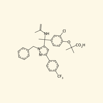 C=C(C)NC(C)(c1ccc(OC(C)(C)C(=O)O)c(Cl)c1)c1cc(-c2ccc(C(F)(F)F)cc2)nn1Cc1ccccc1